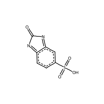 O=C1N=c2ccc(S(=O)(=O)O)cc2=N1